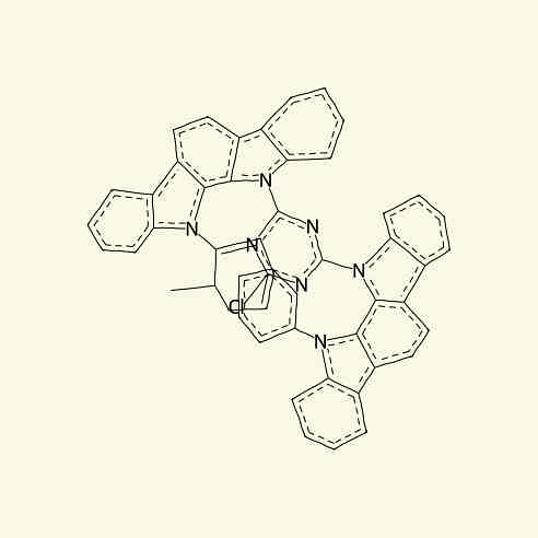 CC1CC=CC=C1n1c2ccccc2c2ccc3c4ccccc4n(-c4nc(Cl)nc(-n5c6ccccc6c6ccc7c8ccccc8n(-c8ccccc8)c7c65)n4)c3c21